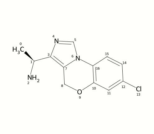 C[C@H](N)c1ncn2c1COc1cc(Cl)ccc1-2